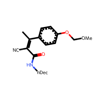 CCCCCCCCCCNC(=O)C(C#N)=C(C)c1ccc(OCOC)cc1